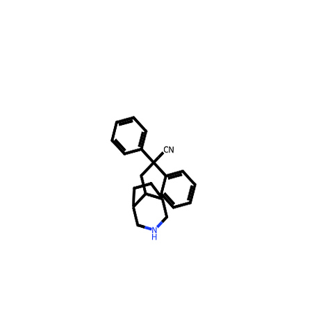 N#CC(CC1C2CCC1CNC2)(c1ccccc1)c1ccccc1